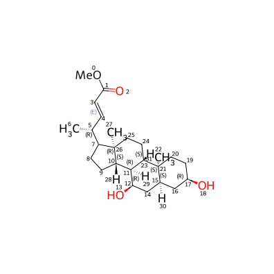 COC(=O)/C=C/[C@@H](C)C1CC[C@H]2[C@@H]3[C@H](O)C[C@@H]4C[C@H](O)CC[C@]4(C)[C@H]3CC[C@]12C